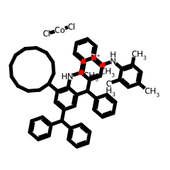 Cc1cc(C)c(NC(C)[n+]2ccccc2C(C)Nc2c(C3CCCCCCCCCCC3)cc(C(c3ccccc3)c3ccccc3)cc2C(c2ccccc2)c2ccccc2)c(C)c1.[Cl][Co][Cl]